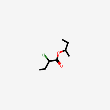 CCC(C)OC(=O)C(Cl)CC